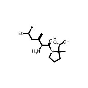 C=C(CC(CC)CC)[C@H](N)C(=O)N1CCCC1(C)B(O)O